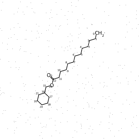 [CH2]CCCCCCCCCCCC(=O)OCC1CCCCC1